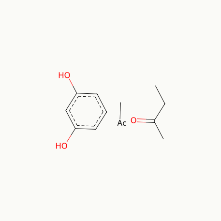 CC(C)=O.CCC(C)=O.Oc1cccc(O)c1